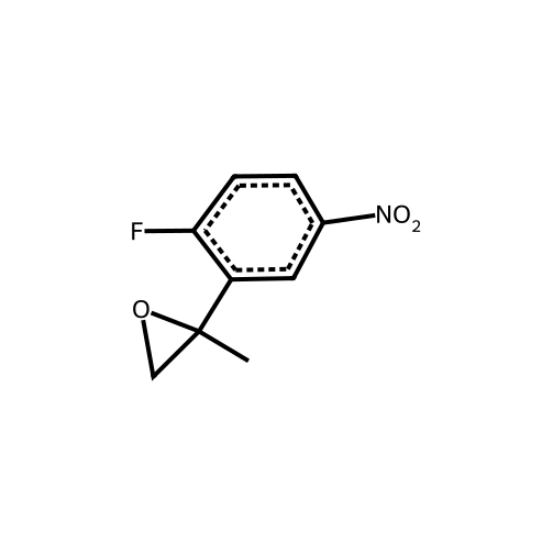 CC1(c2cc([N+](=O)[O-])ccc2F)CO1